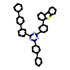 c1ccc(-c2ccc(-c3cccc(-c4nc(-c5ccc(-c6ccccc6)cc5)nc(-c5cccc(-c6cccc7c6sc6ccccc67)c5)n4)c3)cc2)cc1